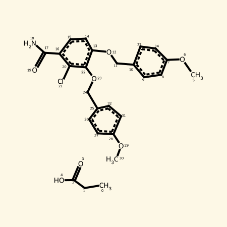 CCC(=O)O.COc1ccc(COc2ccc(C(N)=O)c(Cl)c2OCc2ccc(OC)cc2)cc1